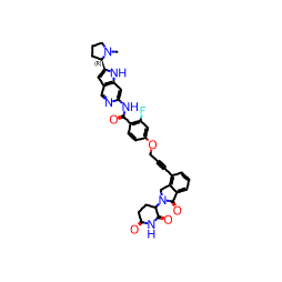 CN1CCC[C@@H]1c1cc2cnc(NC(=O)c3ccc(OCC#Cc4cccc5c4CN(C4CCC(=O)NC4=O)C5=O)cc3F)cc2[nH]1